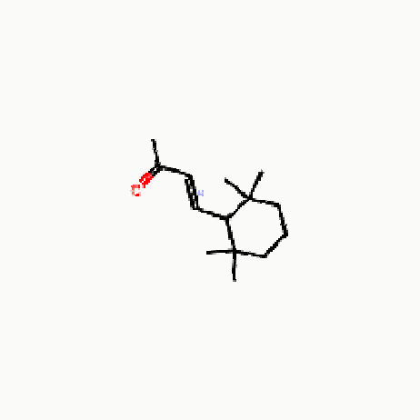 CC(=O)/C=C/C1C(C)(C)CCCC1(C)C